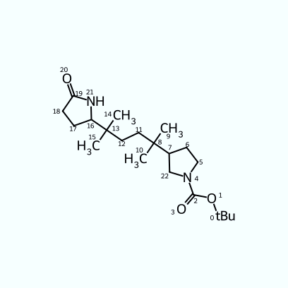 CC(C)(C)OC(=O)N1CCC(C(C)(C)CCC(C)(C)C2CCC(=O)N2)C1